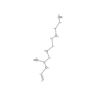 C=COC(O)COCCOCCO